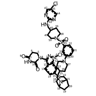 Cn1nc(N2CCC(=O)NC2=O)c2ccc(N3CC4CCC(C3)N4CC3CCN(c4cccc(S(=O)(=O)N5CCC(Nc6ncc(Cl)cn6)CC5)c4)CC3)cc21